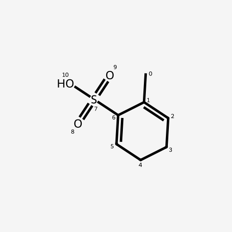 CC1=CCCC=C1S(=O)(=O)O